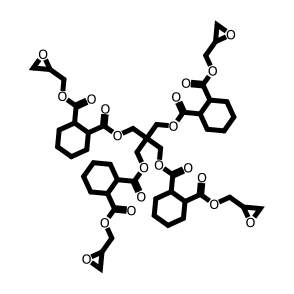 O=C(OCC1CO1)C1CCCCC1C(=O)OCC(COC(=O)C1CCCCC1C(=O)OCC1CO1)(COC(=O)C1CCCCC1C(=O)OCC1CO1)COC(=O)C1CCCCC1C(=O)OCC1CO1